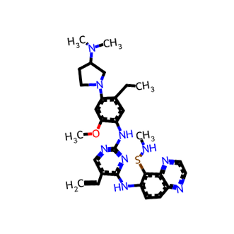 C=Cc1cnc(Nc2cc(CC)c(N3CCC(N(C)C)C3)cc2OC)nc1Nc1ccc2nccnc2c1SNC